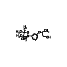 CC(CO)Oc1cccc(B2OC(C)(C)C(C)(C)O2)c1